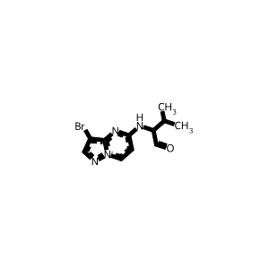 CC(C)C(C=O)Nc1ccn2ncc(Br)c2n1